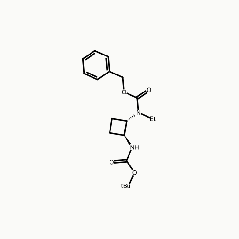 CCN(C(=O)OCc1ccccc1)[C@H]1CC[C@@H]1NC(=O)OC(C)(C)C